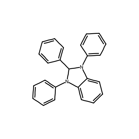 c1ccc(C2N(c3ccccc3)c3ccccc3N2c2ccccc2)cc1